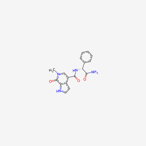 Cn1cc(C(=O)N[C@@H](C(N)=O)c2ccccc2)c2cc[nH]c2c1=O